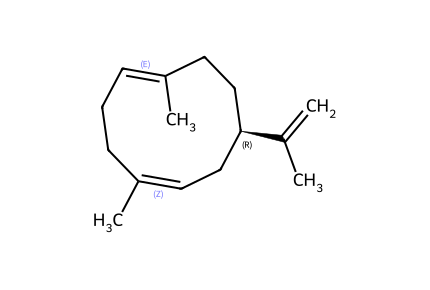 C=C(C)[C@H]1C/C=C(/C)CC/C=C(\C)CC1